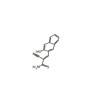 N#CC(=Cc1cc2ccccc2cc1O)C(N)=S